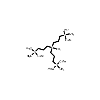 CO[Si](C)(CCC[Si](C)(CCC[Si](C)(OC)OC)CCC[Si](C)(OC)OC)OC